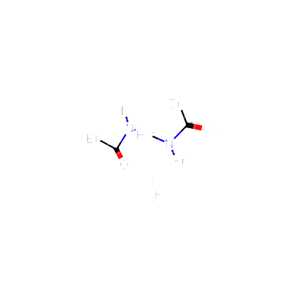 CCC(=O)[N](CC)[Hf+2][N](CC)C(=O)CC.[F-].[F-]